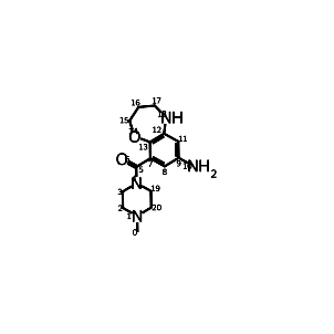 CN1CCN(C(=O)c2cc(N)cc3c2OCCCN3)CC1